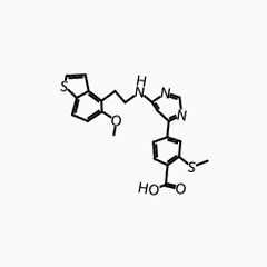 COc1ccc2sccc2c1CCNc1cc(-c2ccc(C(=O)O)c(SC)c2)ncn1